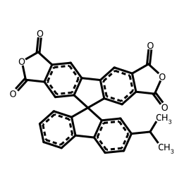 CC(C)c1ccc2c(c1)C1(c3ccccc3-2)c2cc3c(cc2-c2cc4c(cc21)C(=O)OC4=O)C(=O)OC3=O